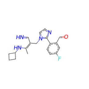 C/C(NC1CCC1)=C(/C=N)Cn1ccnc1-c1ccc(F)cc1C=O